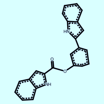 O=C(Oc1cccc(-c2cc3ccccc3[nH]2)c1)c1cc2ccccc2[nH]1